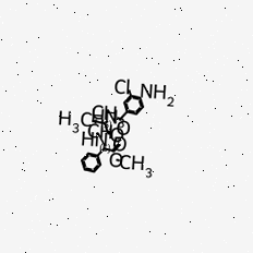 COC(=O)[C@@H](NC(=O)[C@@H](NC(=O)c1ccc(N)c(Cl)c1)C(C)(C)C)c1ccccc1